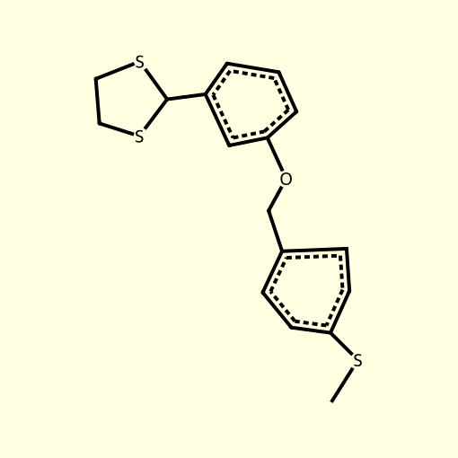 CSc1ccc(COc2cccc(C3SCCS3)c2)cc1